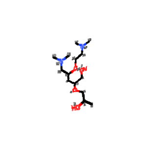 CC(O)COC(CO)CC(CN(C)C)OCCN(C)C